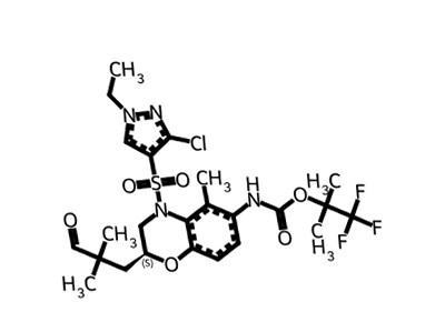 CCn1cc(S(=O)(=O)N2C[C@H](CC(C)(C)C=O)Oc3ccc(NC(=O)OC(C)(C)C(F)(F)F)c(C)c32)c(Cl)n1